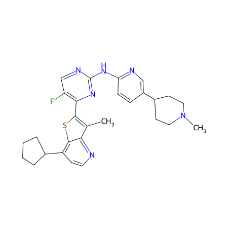 Cc1c(-c2nc(Nc3ccc(C4CCN(C)CC4)cn3)ncc2F)sc2c(C3CCCC3)ccnc12